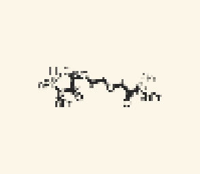 CCCN(CCC)C(=O)COCCOC(C)C(=O)N(CCC)CCC